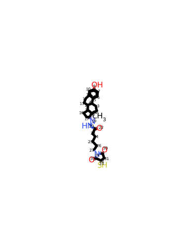 CC12CCC3c4ccc(O)cc4CCC3C1CC/C2=N\NC(=O)CCCCCN1C(=O)CC(S)C1=O